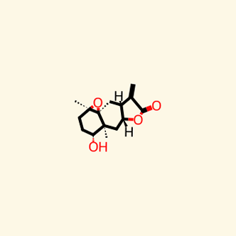 C=C1C(=O)O[C@@H]2C[C@@]3(C)[C@H](O)CC[C@@]4(C)O[C@]43C[C@@H]12